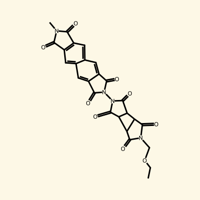 CCOCN1C(=O)C2C(C1=O)C1C(=O)N(n3c(=O)c4cc5cc6c(=O)n(C)c(=O)c6cc5cc4c3=O)C(=O)C21